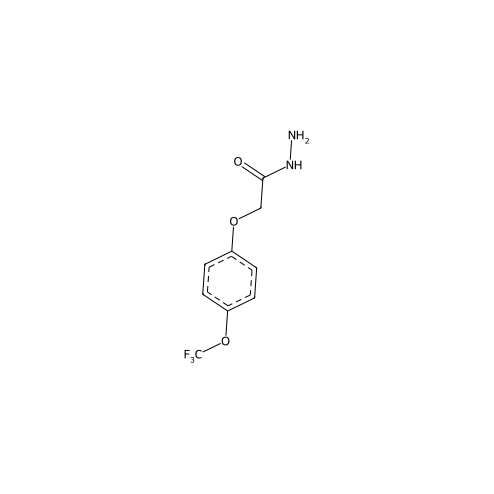 NNC(=O)COc1ccc(OC(F)(F)F)cc1